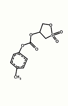 Cc1ccc(OC(=O)OC2COS(=O)(=O)C2)cc1